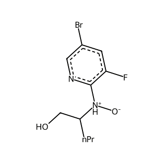 CCCC(CO)[NH+]([O-])c1ncc(Br)cc1F